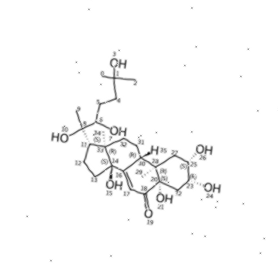 CC(C)(O)CCC(O)C(C)(O)[C@H]1CC[C@@]2(O)C3=CC(=O)[C@]4(O)C[C@@H](O)[C@@H](O)C[C@]4(C)[C@H]3CC[C@]12C